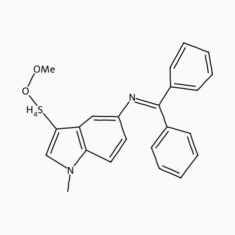 COO[SH4]c1cn(C)c2ccc(N=C(c3ccccc3)c3ccccc3)cc12